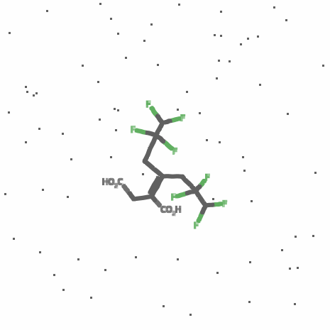 O=C(O)CC(C(=O)O)=C(CC(F)(F)C(F)F)CC(F)(F)C(F)F